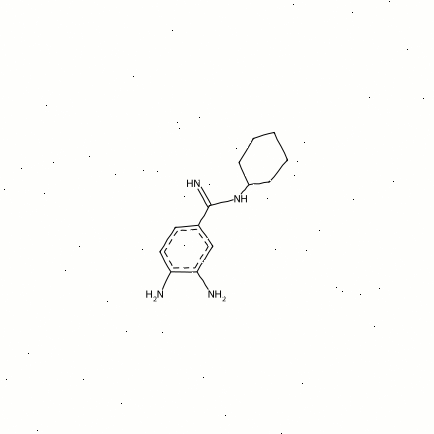 N=C(NC1CCCCC1)c1ccc(N)c(N)c1